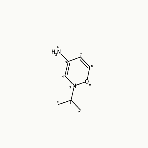 CC(C)N1C=C(N)C=CO1